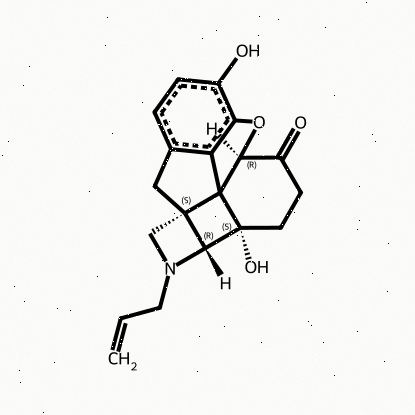 C=CCN1C[C@]23Cc4ccc(O)c5c4C24[C@@H](O5)C(=O)CC[C@@]4(O)[C@H]13